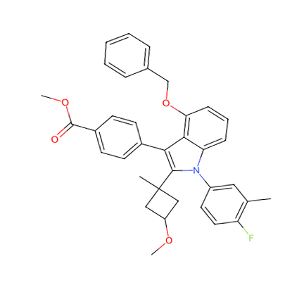 COC(=O)c1ccc(-c2c(C3(C)CC(OC)C3)n(-c3ccc(F)c(C)c3)c3cccc(OCc4ccccc4)c23)cc1